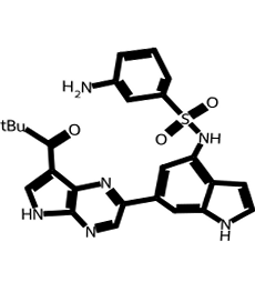 CC(C)(C)C(=O)c1c[nH]c2ncc(-c3cc(NS(=O)(=O)c4cccc(N)c4)c4cc[nH]c4c3)nc12